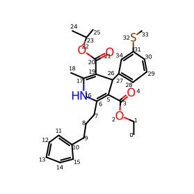 CCOC(=O)C1=C(CCCc2ccccc2)NC(C)=C(C(=O)OC(C)C)C1c1cccc(SC)c1